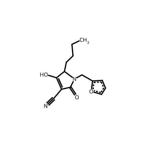 CCCCC1C(O)=C(C#N)C(=O)N1Cc1ccco1